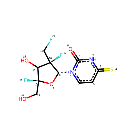 O=c1[nH]c(=S)ccn1[C@@H]1O[C@](F)(CO)C(O)[C@]1(F)CF